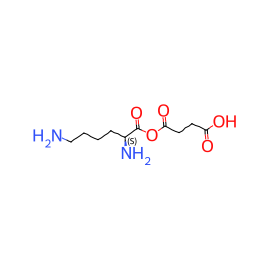 NCCCC[C@H](N)C(=O)OC(=O)CCC(=O)O